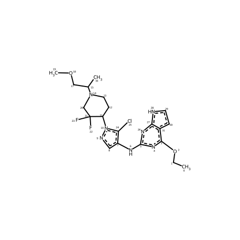 CCOc1nc(Nc2cnn(C3CCN(C(C)COC)CC3(F)F)c2Cl)nc2[nH]ccc12